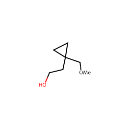 COCC1(CCO)CC1